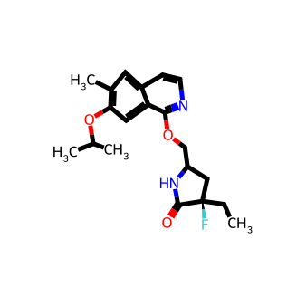 CC[C@@]1(F)CC(COc2nccc3cc(C)c(OC(C)C)cc23)NC1=O